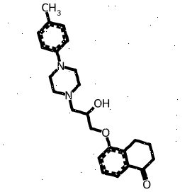 Cc1ccc(N2CCN(CC(O)COc3cccc4c3CCCC4=O)CC2)cc1